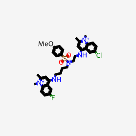 COc1ccc(S(=O)(=O)N(CCCCNc2cc(C)[n+](C)c3ccc(F)cc23)CCNc2cc(C)[n+](C)c3ccc(Cl)cc23)cc1